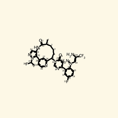 CC1CCCC(n2cnc(-c3cc(F)ccc3N(N)/C=C(\N)C(F)(F)F)cc2=O)c2cc(ccn2)-c2c(cnn2C(F)F)NC1=O